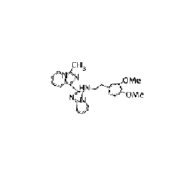 COc1ccc(CCNc2c(-c3nc(C)n4ccccc34)nc3ccccn23)cc1OC